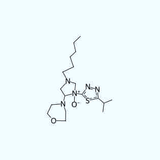 CCCCCCN1CC(N2CCOCC2)[N+]([O-])(c2nnc(C(C)C)s2)C1